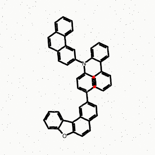 c1ccc(-c2ccccc2N(c2ccc(-c3ccc4ccc5oc6ccccc6c5c4c3)cc2)c2ccc3ccc4ccccc4c3c2)cc1